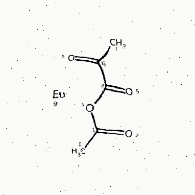 CC(=O)OC(=O)C(C)=O.[Eu]